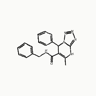 CC1=C(C(=O)NCc2ccccc2)C(c2ccccc2)n2nnnc2N1